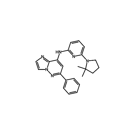 CC1(C)CCCN1c1cccc(Nc2cc(-c3ccccc3)nn3ccnc23)n1